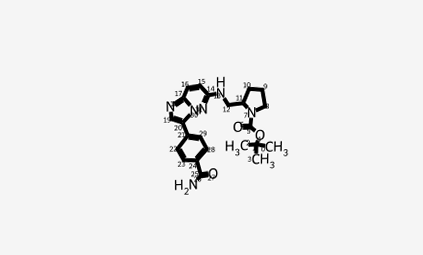 CC(C)(C)OC(=O)N1CCCC1CNc1ccc2ncc(-c3ccc(C(N)=O)cc3)n2n1